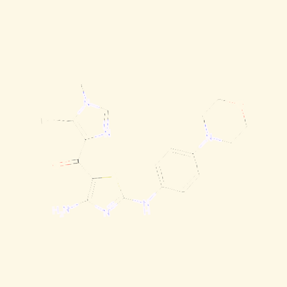 Cc1c(C(=O)c2sc(Nc3ccc(N4CCOCC4)cc3)nc2N)ncn1C